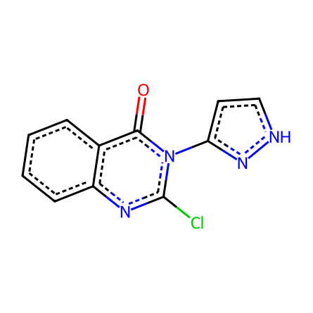 O=c1c2ccccc2nc(Cl)n1-c1cc[nH]n1